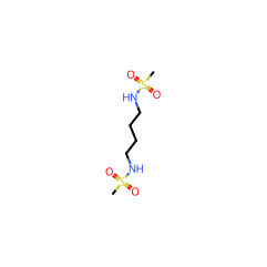 CS(=O)(=O)NCCCCNS(C)(=O)=O